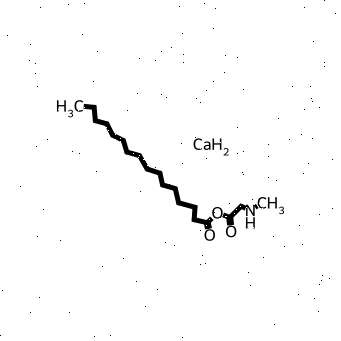 CCCCCCCCCCCCCCCC(=O)OC(=O)CNC.[CaH2]